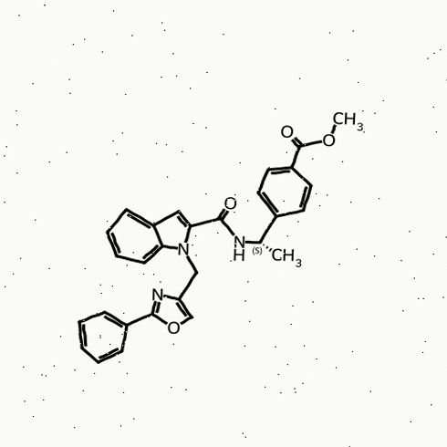 COC(=O)c1ccc([C@H](C)NC(=O)c2cc3ccccc3n2Cc2coc(-c3ccccc3)n2)cc1